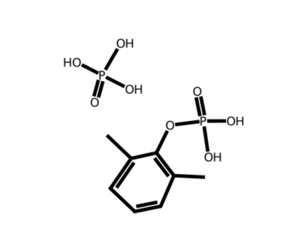 Cc1cccc(C)c1OP(=O)(O)O.O=P(O)(O)O